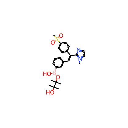 Cn1ccnc1/C(=C/c1cccc(B(O)OC(C)(C)C(C)(C)O)c1)c1ccc(S(C)(=O)=O)cc1